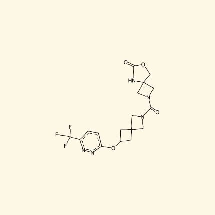 O=C1NC2(CO1)CN(C(=O)N1CC3(CC(Oc4ccc(C(F)(F)F)nn4)C3)C1)C2